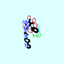 COCC1=C(C(=O)OC)[C@H](c2ccc(F)c(F)c2)N(C(=O)N(C)C2CN(C3CCC(c4ccccn4)CC3)C2)C(=O)N1.Cl